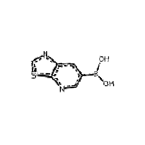 OB(O)c1cnc2scnc2c1